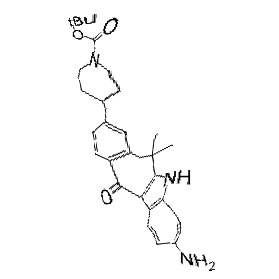 CC(C)(C)OC(=O)N1CCC(c2ccc3c(c2)C(C)(C)c2[nH]c4cc(N)ccc4c2C3=O)CC1